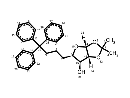 CC1(C)O[C@H]2O[C@H](CCCC(c3ccccc3)(c3ccccc3)c3ccccc3)[C@H](O)[C@H]2O1